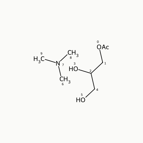 CC(=O)OCC(O)CO.CN(C)C